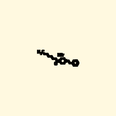 Br.CCCCCCCC(=O)N1CCN(CCc2ccccc2)CC1